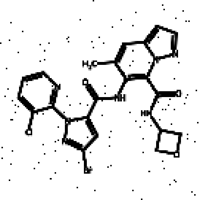 Cc1cc2ccnn2c(C(=O)NC2COC2)c1NC(=O)c1cc(Br)nn1-c1ncccc1Cl